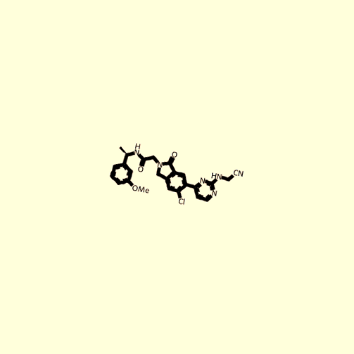 COc1cccc([C@@H](C)NC(=O)CN2Cc3cc(Cl)c(-c4ccnc(NCC#N)n4)cc3C2=O)c1